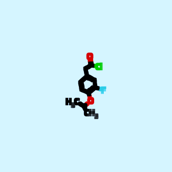 CC(C)Oc1ccc(CC(=O)Cl)cc1F